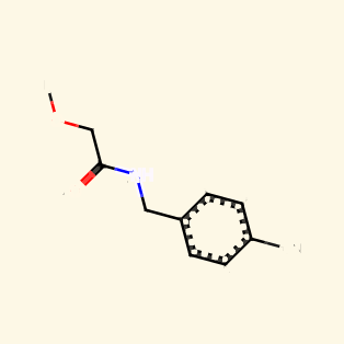 CCOCC(=O)NCc1ccc(C#N)cc1